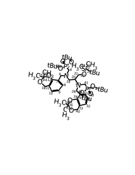 CC(C)(C)OP(=O)(CN(Cc1cccc2c1OC(C)(C)OC2)CC(CO[Si](C)(C)C(C)(C)C)N(Cc1cccc2c1OC(C)(C)OC2)CP(=O)(OC(C)(C)C)OC(C)(C)C)OC(C)(C)C